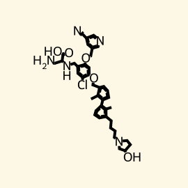 Cc1c(CCCCN2CCC(O)C2)cccc1-c1cccc(COc2cc(OCc3cncc(C#N)c3)c(CNC(CN)C(=O)O)cc2Cl)c1C